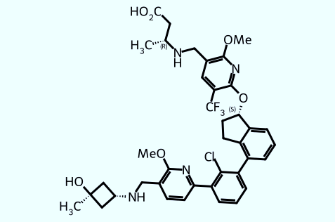 COc1nc(-c2cccc(-c3cccc4c3CC[C@@H]4Oc3nc(OC)c(CN[C@H](C)CC(=O)O)cc3C(F)(F)F)c2Cl)ccc1CN[C@H]1C[C@](C)(O)C1